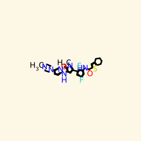 CN1CCN(c2ccc(Nc3cc(-c4cc(F)cc(NC(=O)c5cc6c(s5)CCCC6)c4F)cn(C)c3=O)nc2)CC1